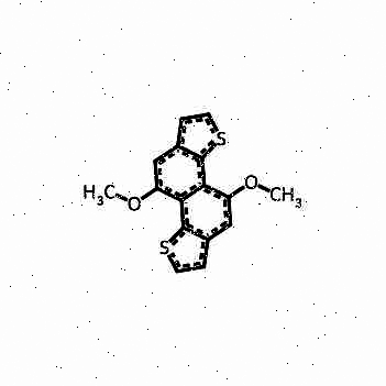 COc1cc2ccsc2c2c(OC)cc3ccsc3c12